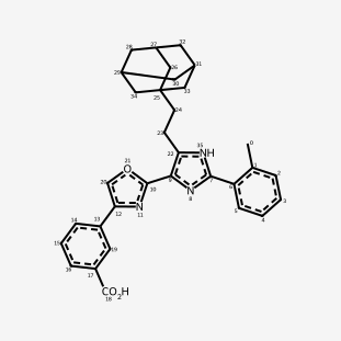 Cc1ccccc1-c1nc(-c2nc(-c3cccc(C(=O)O)c3)co2)c(CCC23CC4CC(CC(C4)C2)C3)[nH]1